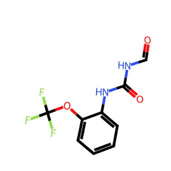 O=CNC(=O)Nc1ccccc1OC(F)(F)F